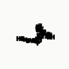 OCCOCCOCC(F)(F)Oc1ccc2c(c1)c(-c1cn[nH]c1)nn2C1CCCCO1